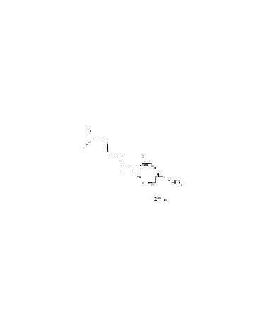 COc1nc(OCCOC(F)F)c(F)cc1[N+](=O)[O-]